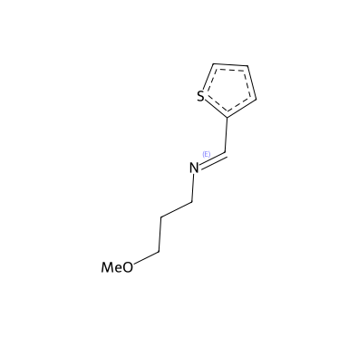 COCCC/N=C/c1cccs1